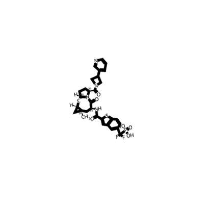 C[C@]12C[C@H]1C[C@H]1CC[C@@H](C(=O)N3CC(c4cccnc4)C3)N1C(=O)[C@@H](NC(=O)c1cc3cc(C(F)(F)P(=O)(O)O)ccc3s1)C2